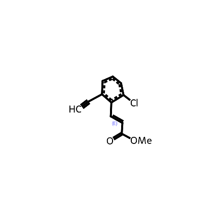 C#Cc1cccc(Cl)c1/C=C/C(=O)OC